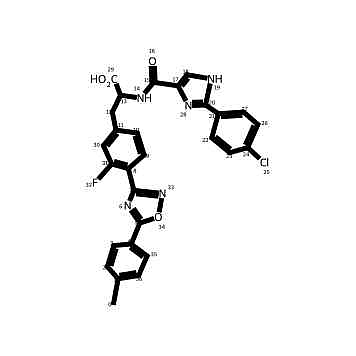 Cc1ccc(-c2nc(-c3ccc(CC(NC(=O)c4c[nH]c(-c5ccc(Cl)cc5)n4)C(=O)O)cc3F)no2)cc1